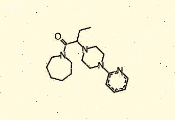 CCC(C(=O)N1CCCCCC1)N1CCN(c2ccccn2)CC1